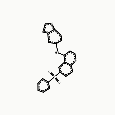 O=S(=O)(c1ccccc1)c1ccc2nccc(Nc3ccc4scnc4c3)c2c1